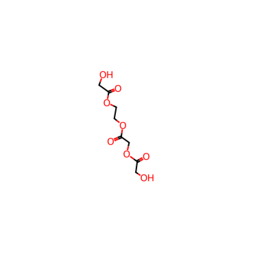 O=C(CO)OCCOC(=O)COC(=O)CO